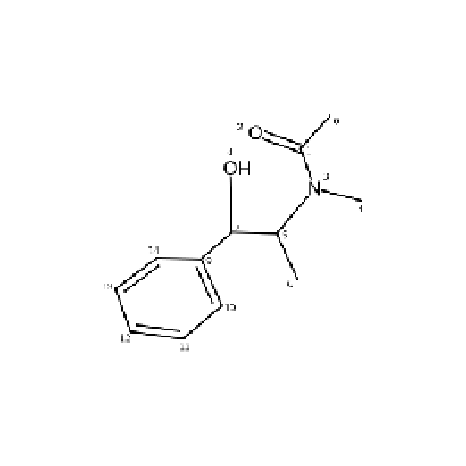 CC(=O)N(C)C(C)C(O)c1ccccc1